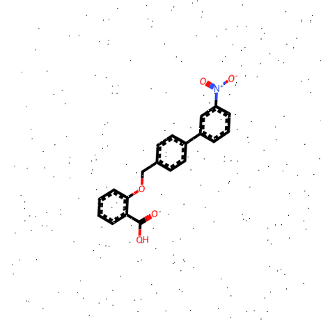 O=C(O)c1ccccc1OCc1ccc(-c2cccc([N+](=O)[O-])c2)cc1